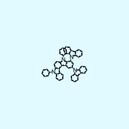 c1ccc(-n2c3ccccc3c3c4c5cc(-n6c7ccccc7c7ccccc76)cc(-n6c7ccccc7c7ccccc76)c5n(-c5ccccc5)c4ccc32)cc1